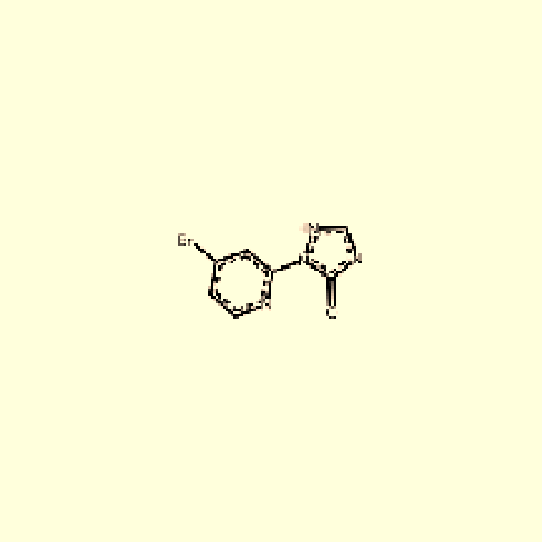 O=c1nc[nH]n1-c1cc(Br)ccn1